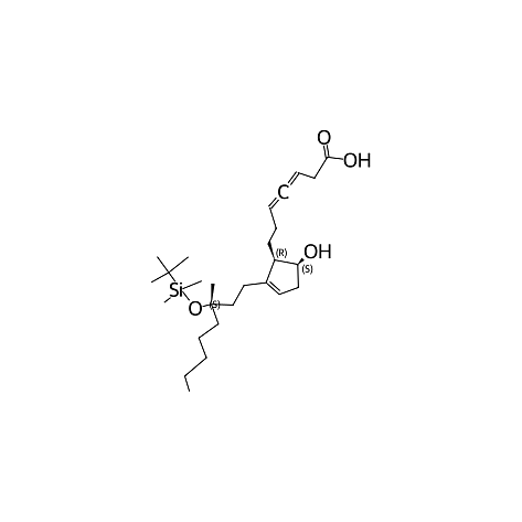 CCCCC[C@@](C)(CCC1=CC[C@H](O)[C@@H]1CCC=C=CCC(=O)O)O[Si](C)(C)C(C)(C)C